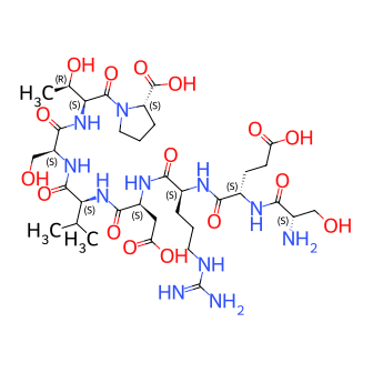 CC(C)[C@H](NC(=O)[C@H](CC(=O)O)NC(=O)[C@H](CCCNC(=N)N)NC(=O)[C@H](CCC(=O)O)NC(=O)[C@@H](N)CO)C(=O)N[C@@H](CO)C(=O)N[C@H](C(=O)N1CCC[C@H]1C(=O)O)[C@@H](C)O